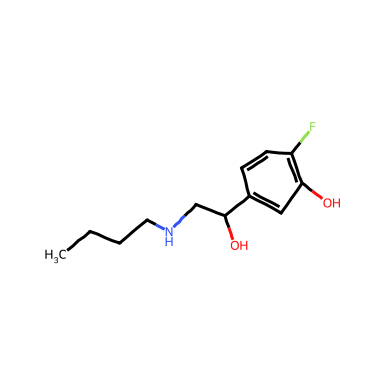 CCCCNCC(O)c1ccc(F)c(O)c1